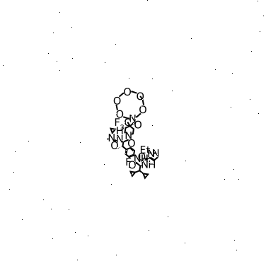 CCn1nccc1C(=O)N[C@H](C(=O)Nc1ccc([C@H](C)[C@@H](NC(=O)N(C)C2CC2)C(=O)N2CCC(C(=O)N3CCOCCOCCOCCOCCOCC3)(C(F)(F)F)CC2)cc1F)C(C1CC1)C1CC1